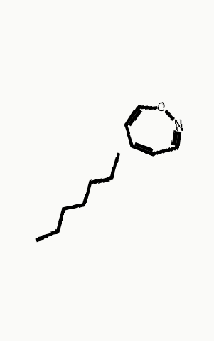 C1=CC=NOC=C1.CCCCCCC